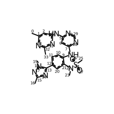 Cc1cc(Nc2cc(Nc3ccc(-c4nc(C)nn4C)cc3N(C)S(C)(=O)=O)ncn2)nc(C)n1